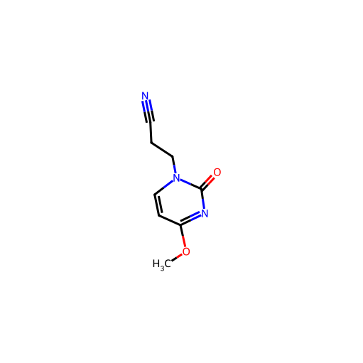 COc1ccn(CCC#N)c(=O)n1